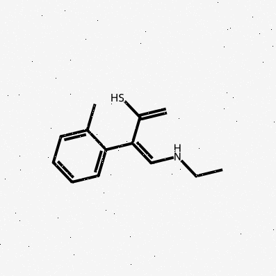 C=C(S)/C(=C\NCC)c1ccccc1C